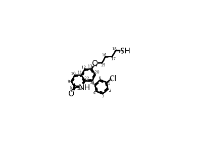 Clc1ccccc1.O=c1ccc2cc(OCCCCS)ccc2[nH]1